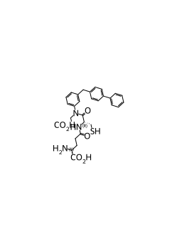 N[C@@H](CCC(=O)N[C@@H](CS)C(=O)N(CC(=O)O)c1cccc(Cc2ccc(-c3ccccc3)cc2)c1)C(=O)O